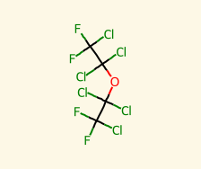 FC(F)(Cl)C(Cl)(Cl)OC(Cl)(Cl)C(F)(F)Cl